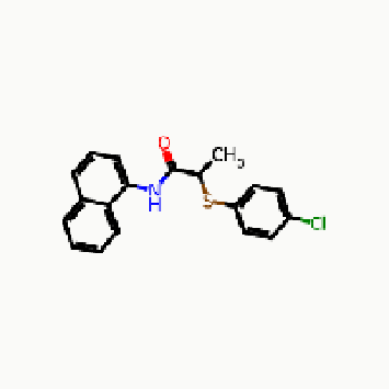 CC(Sc1ccc(Cl)cc1)C(=O)Nc1cccc2ccccc12